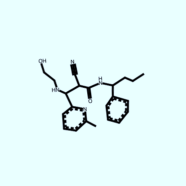 CCCC(NC(=O)C(C#N)C(NCCO)c1cccc(C)n1)c1ccccc1